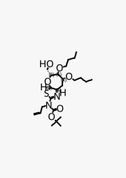 C=CCN(C(=O)OC(C)(C)C)C1=N[C@@H]2C[C@@H](OCCCC)[C@H](OCCCC)[C@@H](CO)O[C@@H]2S1